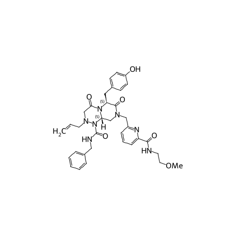 C=CCN1CC(=O)N2[C@@H](Cc3ccc(O)cc3)C(=O)N(Cc3cccc(C(=O)NCCOC)n3)C[C@@H]2N1C(=O)NCc1ccccc1